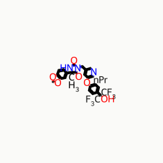 CCCc1cc(C(O)(C(F)(F)F)C(F)(F)F)ccc1Oc1cncc(CN2C(=O)NC(C)(c3ccc4c(c3)OCO4)C2=O)c1